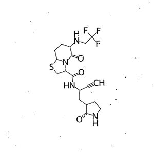 C#CC(CC1CCNC1=O)NC(=O)C1CSC2CCC(NCC(F)(F)F)C(=O)N21